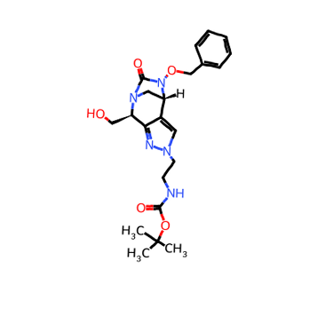 CC(C)(C)OC(=O)NCCn1cc2c(n1)[C@@H](CO)N1C[C@@H]2N(OCc2ccccc2)C1=O